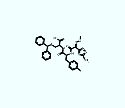 CO/N=C(/C(=O)NC(Cc1ccc(I)cc1)C(=O)NC(CSC(c1ccccc1)c1ccccc1)C(=O)O)c1nsc(N)n1